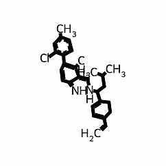 C=CC1=CC=C(C(CC(C)C)N/C=C2\C(=N)C=CC(c3ccc(C)cc3Cl)=C2C)CC1